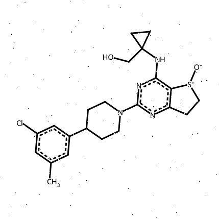 Cc1cc(Cl)cc(C2CCN(c3nc4c(c(NC5(CO)CC5)n3)[S+]([O-])CC4)CC2)c1